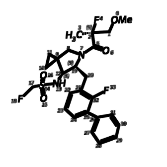 COC[C@](C)(F)C(=O)N1CC2(CC2)[C@H](NS(=O)(=O)CF)[C@@H]1Cc1cccc(-c2ccccc2)c1F